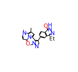 CCc1n[nH]c(=O)c2ccc(-c3cnn(C)c3-c3cc(C)c4n(C)ccc(=O)n34)cc12